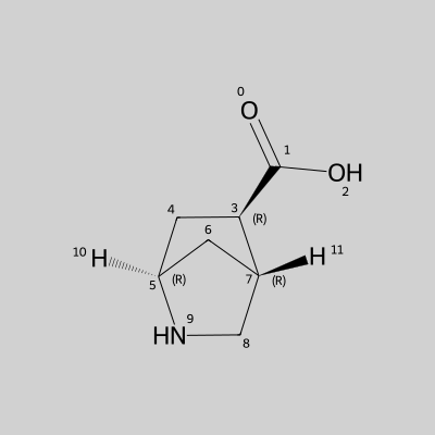 O=C(O)[C@@H]1C[C@H]2C[C@H]1CN2